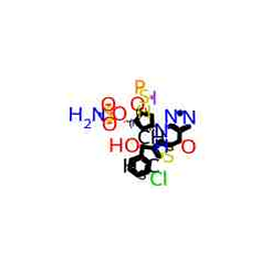 Cc1sc(C(=O)c2cncnc2N[C@@H]2C[C@H](COS(N)(=O)=O)[C@@H](O[SH](#P)I)C2)cc1C(C)(O)c1cccc(Cl)c1